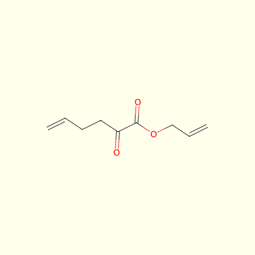 C=CCCC(=O)C(=O)OCC=C